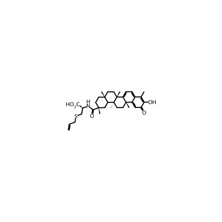 C=CCSC[C@H](NC(=O)[C@]1(C)CC[C@]2(C)CC[C@]3(C)C4=CC=C5C(=CC(=O)C(O)=C5C)[C@]4(C)CC[C@@]3(C)C2C1)C(=O)O